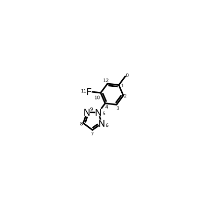 Cc1ccc(-n2nccn2)c(F)c1